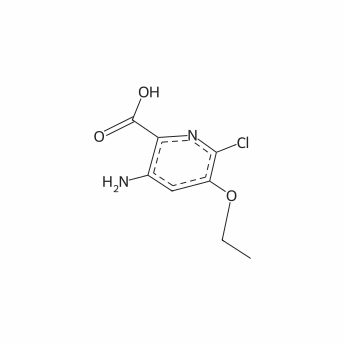 CCOc1cc(N)c(C(=O)O)nc1Cl